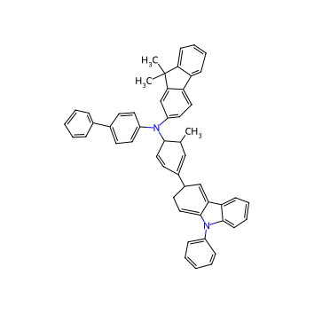 CC1C=C(C2C=c3c(n(-c4ccccc4)c4ccccc34)=CC2)C=CC1N(c1ccc(-c2ccccc2)cc1)c1ccc2c(c1)C(C)(C)c1ccccc1-2